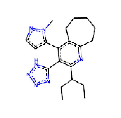 CCC(CC)c1nc2c(c(-c3ccnn3C)c1-c1nnn[nH]1)CCCCC2